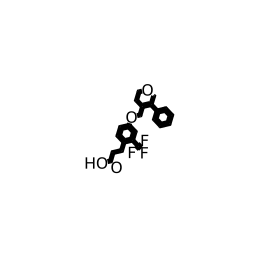 O=C(O)CCc1ccc(OCC2=C(c3ccccc3)COCC2)cc1C(F)(F)F